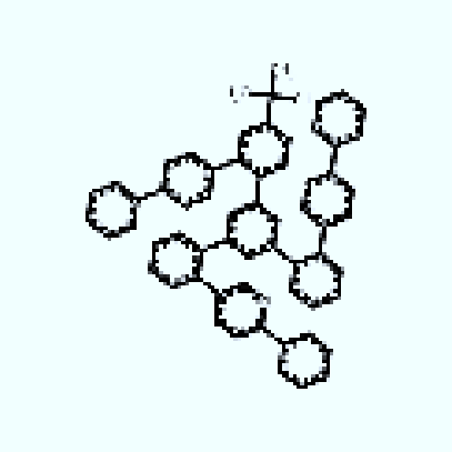 CC(C)(C)c1ccc(-c2cc(-c3ccccc3-c3ccc(-c4ccccc4)nc3)cc(-c3ccccc3-c3ccc(-c4ccccc4)nc3)c2)c(-c2ccc(-c3ccccc3)nc2)c1